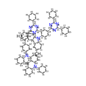 Cc1ccc2c(c1)c1cc(C)ccc1n2-c1ccc(-c2nc(-c3ccccc3)nc(-c3ccccc3)n2)cc1-c1nc(-c2ccccc2)nc(-c2cccc(-c3ccc(N4c5ccccc5B5c6ccccc6N(c6ccccc6)c6cccc4c65)cc3)c2)n1